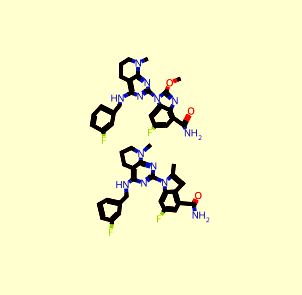 COc1nc2c(C(N)=O)cc(F)cc2n1-c1nc(NCc2cccc(F)c2)c2c(n1)N(C)CCC2.Cc1cc2c(C(N)=O)cc(F)cc2n1-c1nc(NCc2cccc(F)c2)c2c(n1)N(C)CCC2